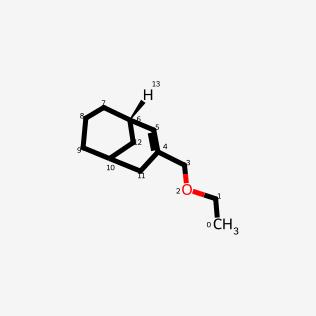 CCOCC1=C[C@H]2CCCC(C1)C2